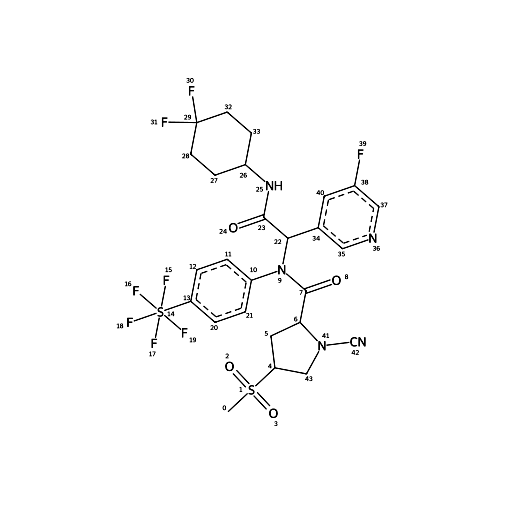 CS(=O)(=O)C1CC(C(=O)N(c2ccc(S(F)(F)(F)(F)F)cc2)C(C(=O)NC2CCC(F)(F)CC2)c2cncc(F)c2)N(C#N)C1